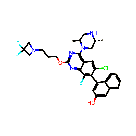 C[C@@H]1CN(c2nc(OCCCN3CC(F)(F)C3)nc3c(F)c(-c4cc(O)cc5ccccc45)c(Cl)cc23)[C@@H](C)CN1